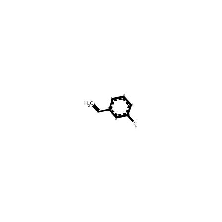 C=Cc1[c]ccc(Cl)c1